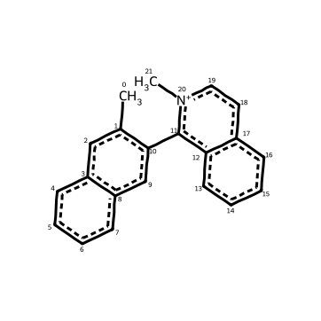 Cc1cc2ccccc2cc1-c1c2ccccc2cc[n+]1C